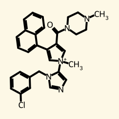 CN1CCN(C(=O)C2=C[N+](C)(c3cncn3Cc3cccc(Cl)c3)C=C2c2cccc3ccccc23)CC1